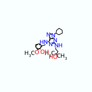 COc1cccc(CNc2nc(NCCC(C)(C)O)nc3c2ncn3C2CCCCC2)c1O